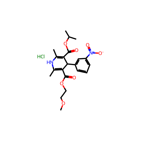 COCCOC(=O)C1=C(C)NC(C)=C(C(=O)OC(C)C)C1c1cccc([N+](=O)[O-])c1.Cl